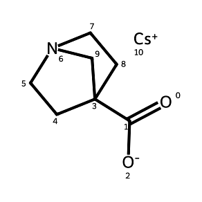 O=C([O-])C12CCN(CC1)C2.[Cs+]